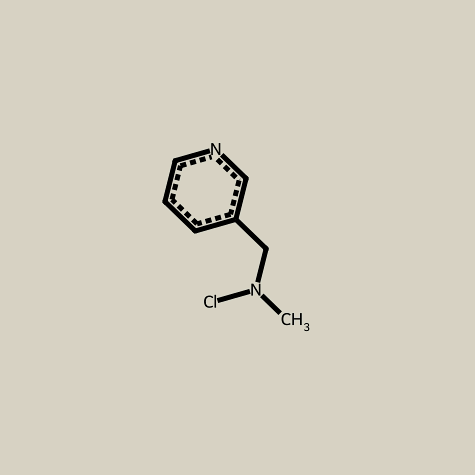 CN(Cl)Cc1cccnc1